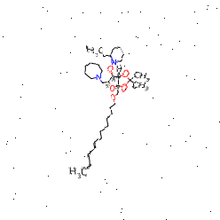 CCCCCCCCCCCCOC[C@@]12O[C@@H](CN3CCCCCC3)[C@@H](ON3CCCCC3CC)[C@@H]1OC(C)(C)O2